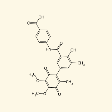 COC1=C(OC)C(=O)C(c2cc(C)c(O)c(C(=O)Nc3ccc(C(=O)O)cc3)c2)=C(C)C1=O